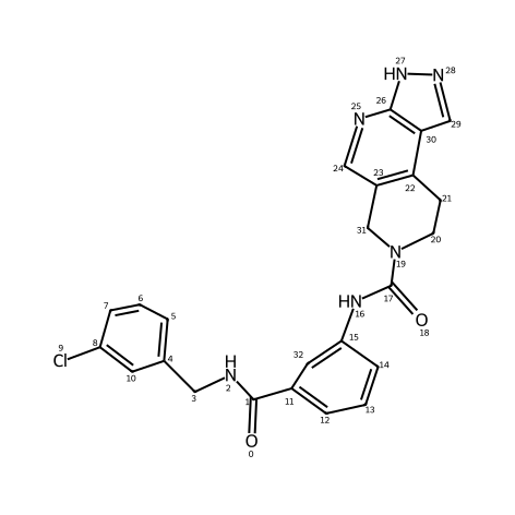 O=C(NCc1cccc(Cl)c1)c1cccc(NC(=O)N2CCc3c(cnc4[nH]ncc34)C2)c1